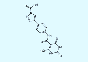 O=C(Nc1ccc(-c2cnn(C(=O)O)c2)cc1)c1c(O)[nH]c(=O)[nH]c1=O